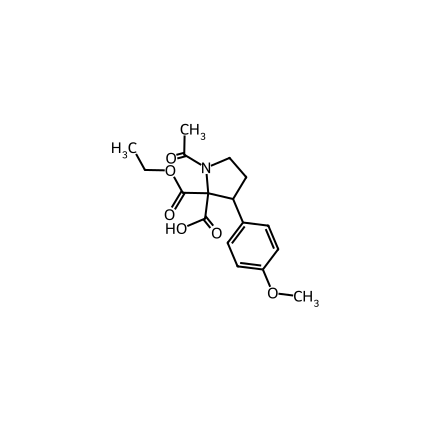 CCOC(=O)C1(C(=O)O)C(c2ccc(OC)cc2)CCN1C(C)=O